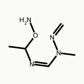 C=NN(C)/C=N\C(C)ON